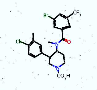 Cc1cc(C2CN(C(=O)O)CCC2N(C)C(=O)c2cc(Br)cc(C(F)(F)F)c2)ccc1Cl